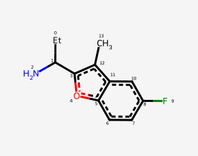 CCC(N)c1oc2ccc(F)cc2c1C